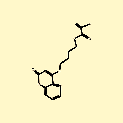 C=C(C)C(=O)OCCCCSc1cc(=O)oc2ccccc12